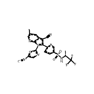 [C-]#[N+]c1cnc(-n2c(-c3ccc(S(=O)(=O)N[C@@H](C)C(F)(F)F)cn3)c(C#N)c3cc(C)cnc32)s1